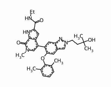 CCNC(=O)c1cc2c(-c3cc4nn(CCC(C)(C)O)cc4cc3Oc3c(C)cccc3C)cn(C)c(=O)c2[nH]1